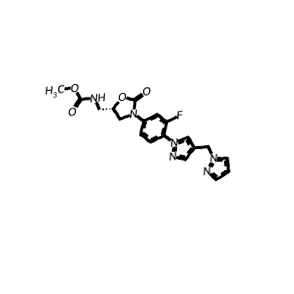 COC(=O)NC[C@H]1CN(c2ccc(-n3cc(Cn4cccn4)cn3)c(F)c2)C(=O)O1